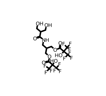 O=C(NCC(COC(=O)C(O)(C(F)(F)F)C(F)(F)F)COC(=O)C(O)(C(F)(F)F)C(F)(F)F)C(CO)CO